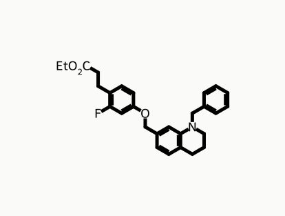 CCOC(=O)CCc1ccc(OCc2ccc3c(c2)N(Cc2ccccc2)CCC3)cc1F